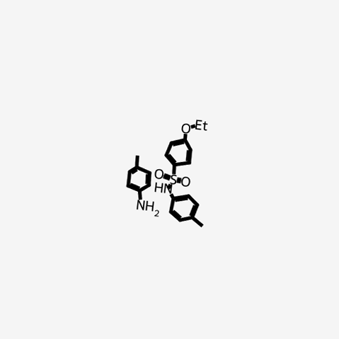 CCOc1ccc(S(=O)(=O)Nc2ccc(C)cc2)cc1.Cc1ccc(N)cc1